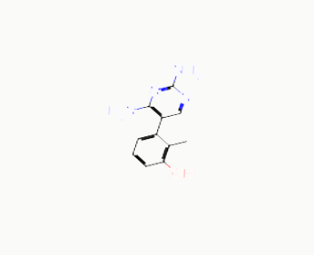 Cc1c(O)cccc1-c1cnc(N)nc1N